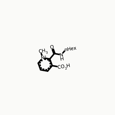 CCCCCCNC(=O)c1c(C(=O)O)ccc[n+]1C